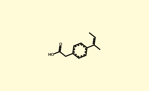 C/C=C(/C)c1ccc(CC(=O)O)cc1